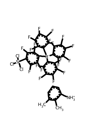 Cc1cccc([NH3+])c1C.Fc1c(F)c(F)c([B-](c2c(F)c(F)c(F)c(F)c2F)(c2c(F)c(F)c(F)c(F)c2F)c2c(F)c(F)c([Si](Cl)(Cl)Cl)c(F)c2F)c(F)c1F